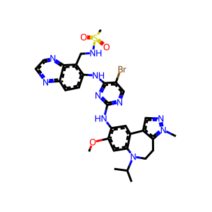 COc1cc2c(cc1Nc1ncc(Br)c(Nc3ccc4nccnc4c3CNS(C)(=O)=O)n1)-c1cnn(C)c1CCN2C(C)C